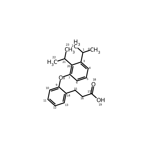 CC(C)c1cccc(Oc2ccccc2CCC(=O)O)c1C(C)C